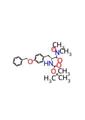 CON(C)C(=O)[C@H](Cc1ccc(OCc2ccccc2)cc1)NC(=O)OC(C)(C)C